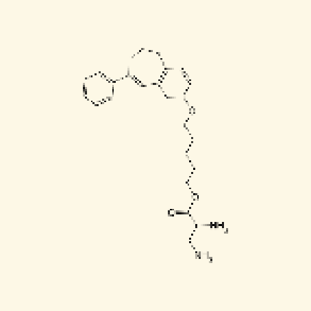 NCC(N)C(=O)OCCCCCOc1ccc2c(c1)C=C(c1ccccc1)CCC2